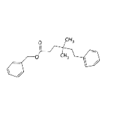 CC(C)(CCC(=O)OCc1ccccc1)CCc1ccccc1